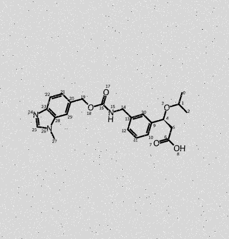 CC(C)O[C@@H](CC(=O)O)c1cccc(CNC(=O)OCc2ccc3ncn(C)c3c2)c1